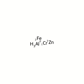 [AlH3].[Cr].[Fe].[Zn]